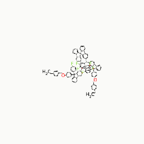 C=Cc1ccc(COc2ccc(C3(c4ccc(F)cc4)c4ccccc4-c4ccc(C(CCc5ccc6c(c5)C5(c7ccccc7-6)c6ccccc6-c6ccc(C(c7ccc(F)c(F)c7)c7ccc8c(c7)C(c7ccc(F)cc7)(c7ccc(OCc9ccc(C=C)cc9)cc7)c7ccccc7-8)cc65)c5ccc(F)c(F)c5)cc43)cc2)cc1